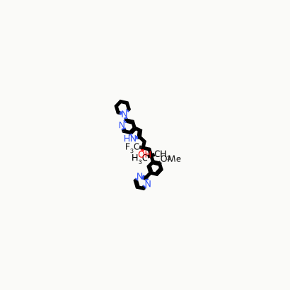 COc1ccc(-c2ncccn2)cc1C(C)(C)CC(O)(Cc1cc2cc(N3CCCCC3)ncc2[nH]1)C(F)(F)F